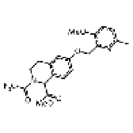 COC(=O)C1c2ccc(OCc3nc(C)ccc3OC)cc2CCN1C(=O)C(F)(F)F